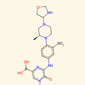 C[C@H]1CN(C2COCN2)CCN1c1ccc(Nc2nc(B(O)O)cn(C)c2=O)cc1[N+](=O)[O-]